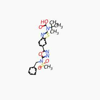 CC(C)(C)N(C(=O)O)c1nc2ccc(-c3nnc(N(Cc4ccccc4)S(C)(=O)=O)o3)cc2s1